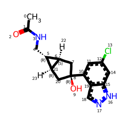 CC(=O)NC[C@@H]1[C@H]2C[C@](O)(c3cc(Cl)cc4[nH]ncc34)C[C@@H]12